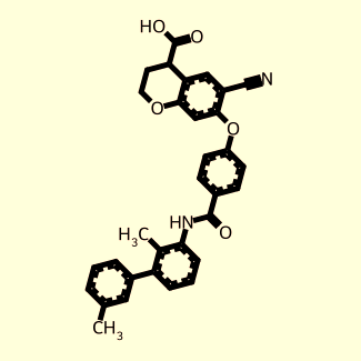 Cc1cccc(-c2cccc(NC(=O)c3ccc(Oc4cc5c(cc4C#N)C(C(=O)O)CCO5)cc3)c2C)c1